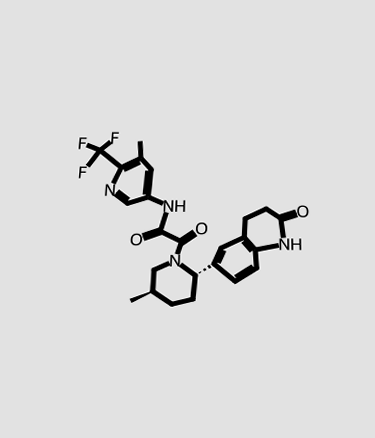 Cc1cc(NC(=O)C(=O)N2C[C@H](C)CC[C@H]2c2ccc3c(c2)CCC(=O)N3)cnc1C(F)(F)F